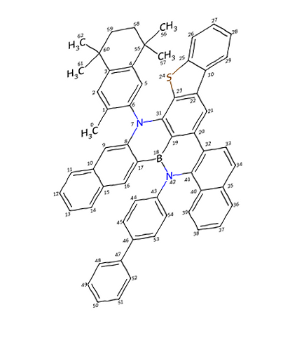 Cc1cc2c(cc1N1c3cc4ccccc4cc3B3c4c(cc5c(sc6ccccc65)c41)-c1ccc4ccccc4c1N3c1ccc(-c3ccccc3)cc1)C(C)(C)CCC2(C)C